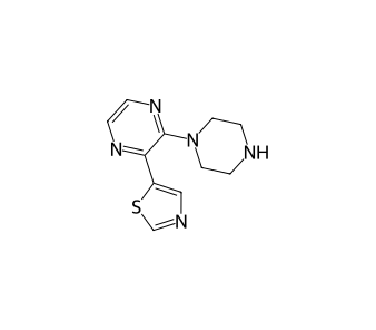 c1cnc(N2CCNCC2)c(-c2cncs2)n1